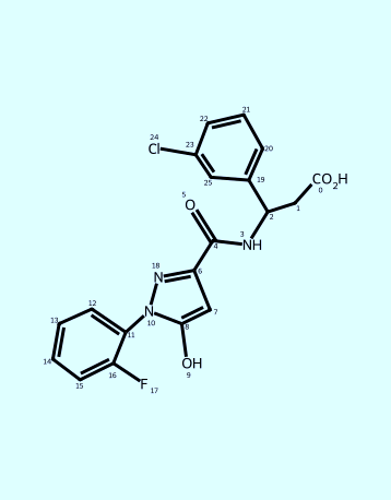 O=C(O)CC(NC(=O)c1cc(O)n(-c2ccccc2F)n1)c1cccc(Cl)c1